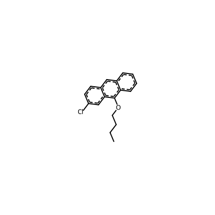 CCCCOc1c2ccccc2cc2ccc(Cl)cc12